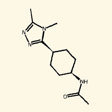 CC(=O)N[C@H]1CC[C@@H](c2nnc(C)n2C)CC1